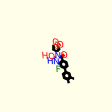 Cc1ccc(-c2ccc3c(c2F)NC(O)N(C2C=CS(=O)(=O)C2)C3=O)cc1C